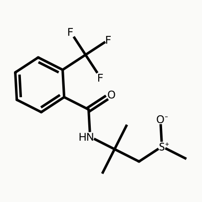 C[S+]([O-])CC(C)(C)NC(=O)c1ccccc1C(F)(F)F